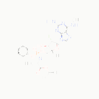 CNc1nc(N)nc2c1ncn2[C@@H]1O[C@](C)(CO[P@@](=O)(N[C@@H](C)C(=O)OC(C)C)Oc2ccccc2)[C@@H](O)[C@H]1F